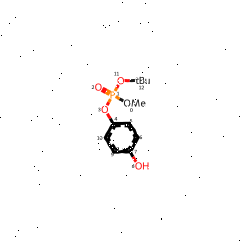 COP(=O)(Oc1ccc(O)cc1)OC(C)(C)C